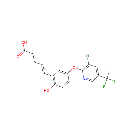 O=C(O)CC/C=C/c1cc(Oc2ncc(C(F)(F)F)cc2Cl)ccc1O